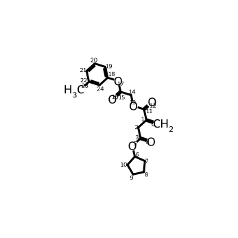 C=C(CC(=O)OC1CCCC1)C(=O)OCC(=O)Oc1cccc(C)c1